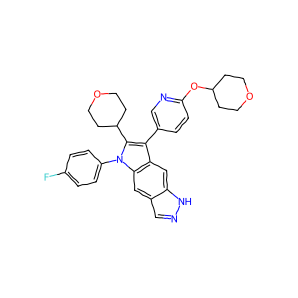 Fc1ccc(-n2c(C3CCOCC3)c(-c3ccc(OC4CCOCC4)nc3)c3cc4[nH]ncc4cc32)cc1